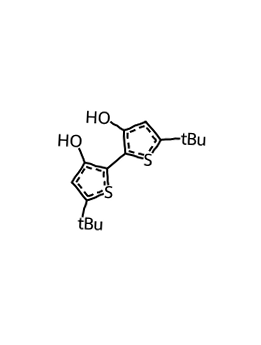 CC(C)(C)c1cc(O)c(-c2sc(C(C)(C)C)cc2O)s1